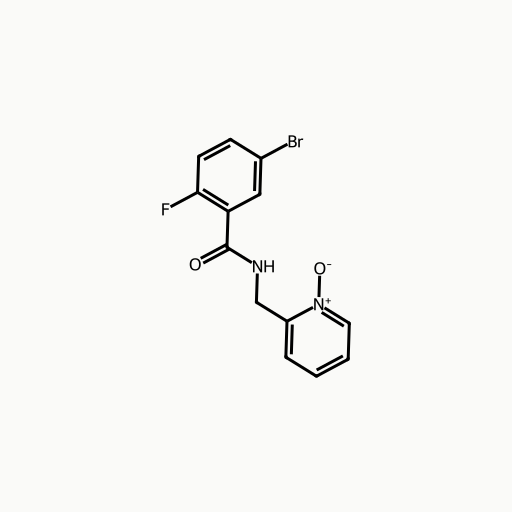 O=C(NCc1cccc[n+]1[O-])c1cc(Br)ccc1F